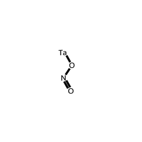 O=N[O][Ta]